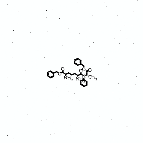 C[C@@H](C(=O)OCc1ccccc1)N(C(=O)[C@@H](N)CCCC(N)C(=O)OCc1ccccc1)c1ccccc1